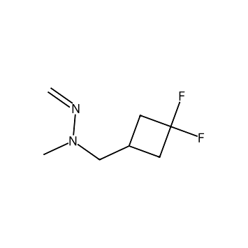 C=NN(C)CC1CC(F)(F)C1